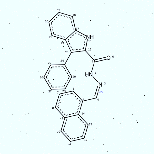 O=C(N/N=C\c1cccc2ccccc12)c1[nH]c2ccccc2c1-c1ccccc1